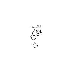 COc1cc(-c2ccccc2)ccc1CC(N)C(=O)O